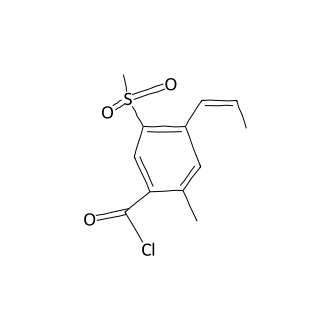 C/C=C\c1cc(C)c(C(=O)Cl)cc1S(C)(=O)=O